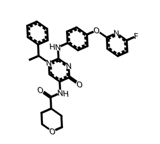 CC(c1ccccc1)n1cc(NC(=O)C2CCOCC2)c(=O)nc1Nc1ccc(Oc2cccc(F)n2)cc1